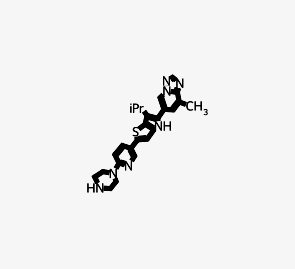 Cc1cc(-c2[nH]c3cc(-c4ccc(N5CCNCC5)nc4)sc3c2C(C)C)cn2ncnc12